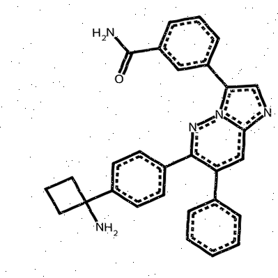 NC(=O)c1cccc(-c2cnc3cc(-c4ccccc4)c(-c4ccc(C5(N)CCC5)cc4)nn23)c1